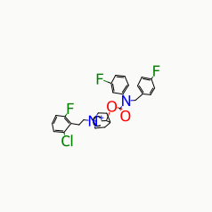 O=C(OC1C[N+]2(CCc3c(F)cccc3Cl)CCC1CC2)N(Cc1ccc(F)cc1)c1cccc(F)c1